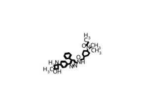 CCC(=O)N(C(C)C)C1CCC(CC(=O)Nc2cc(-c3ccccc3)c(-c3ccc(C4(N)CC(C)(O)C4)cc3)nn2)CC1